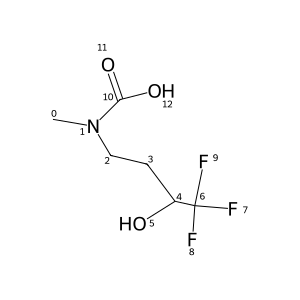 CN(CCC(O)C(F)(F)F)C(=O)O